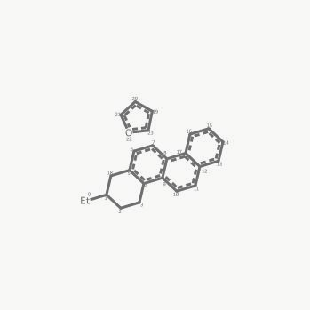 CCC1CCc2c(ccc3c2ccc2ccccc23)C1.c1ccoc1